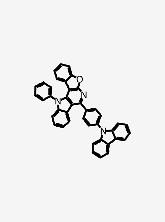 c1ccc(-n2c3ccccc3c3c(-c4ccc(-n5c6ccccc6c6ccccc65)cc4)nc4oc5ccccc5c4c32)cc1